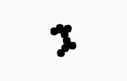 c1ccc(-c2ccc(N(c3ccccc3)c3ccc(-c4ccc5c(c4)c4ccccc4n5-c4cccc(-c5ccccc5)n4)cc3)cc2)cc1